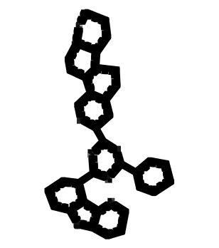 c1ccc(-c2nc(-c3cc4ccc5c6ccccc6ccc5c4cn3)nc(-c3cccc4oc5cccnc5c34)n2)cc1